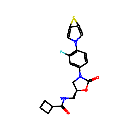 O=C(NC[C@H]1CN(c2ccc(-n3cc4c(c3)S4)c(F)c2)C(=O)O1)C1CCC1